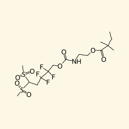 CCC(C)(C)C(=O)OCCNC(=O)OCC(F)(F)C(F)(F)CC(S(C)(=O)=O)S(C)(=O)=O